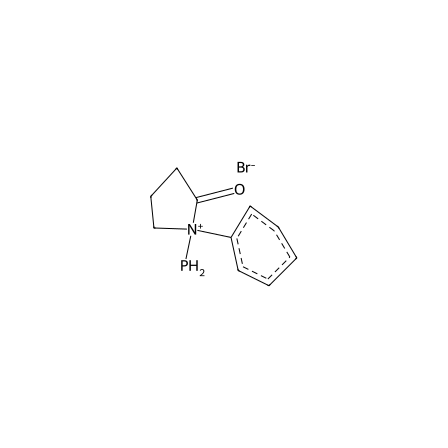 O=C1CCC[N+]1(P)c1ccccc1.[Br-]